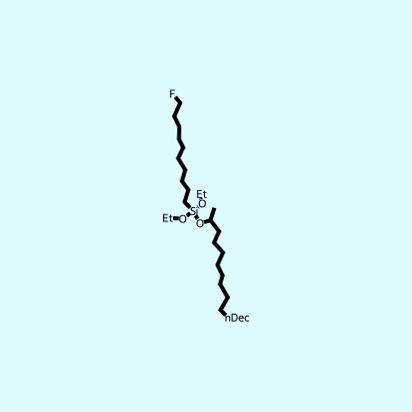 CCCCCCCCCCCCCCCCCCC(C)O[Si](CCCCCCCCCCF)(OCC)OCC